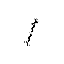 CCNCCCOCCCNC(N)=O